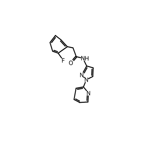 O=C(Cc1ccccc1F)Nc1ccn(-c2ccccn2)n1